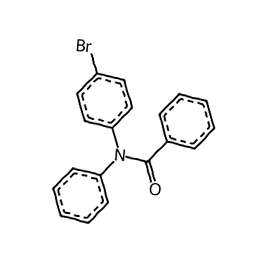 O=C(c1ccccc1)N(c1ccccc1)c1ccc(Br)cc1